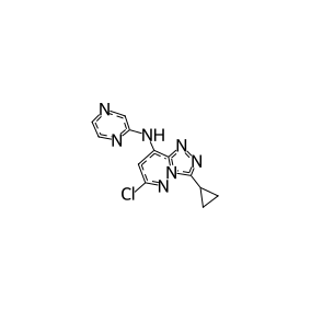 Clc1cc(Nc2cnccn2)c2nnc(C3CC3)n2n1